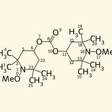 CON1C(C)(C)CC(OC(=O)OC2CC(C)(C)N(OC)C(C)(C)C2)CC1(C)C